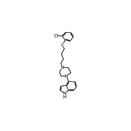 Clc1ccccc1SCCCCN1CCN(c2cccc3[nH]ccc23)CC1